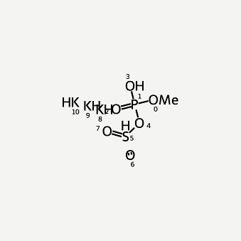 COP(=O)(O)O[SH](=O)=O.[KH].[KH].[KH]